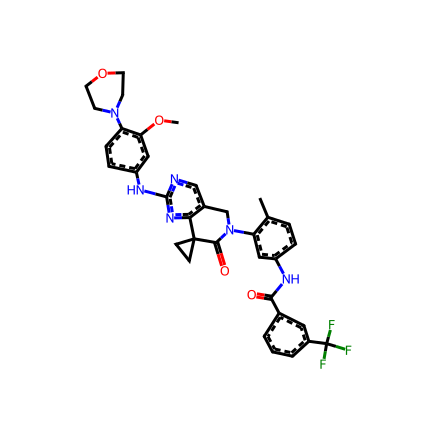 COc1cc(Nc2ncc3c(n2)C2(CC2)C(=O)N(c2cc(NC(=O)c4cccc(C(F)(F)F)c4)ccc2C)C3)ccc1N1CCOCC1